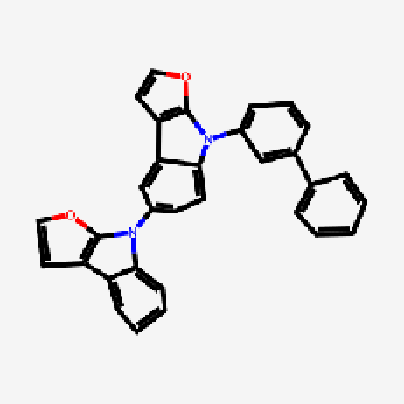 c1ccc(-c2cccc(-n3c4ccc(-n5c6ccccc6c6ccoc65)cc4c4ccoc43)c2)cc1